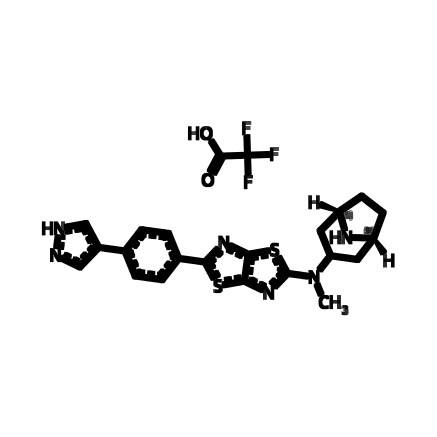 CN(c1nc2sc(-c3ccc(-c4cn[nH]c4)cc3)nc2s1)C1C[C@H]2CC[C@@H](C1)N2.O=C(O)C(F)(F)F